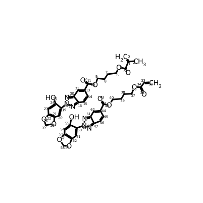 C=C(C)C(=O)OCCCCOC(=O)c1ccc2nn(-c3cc4c(cc3O)OCO4)nc2c1.C=CC(=O)OCCCCOC(=O)c1ccc2nn(-c3cc4c(cc3O)OCO4)nc2c1